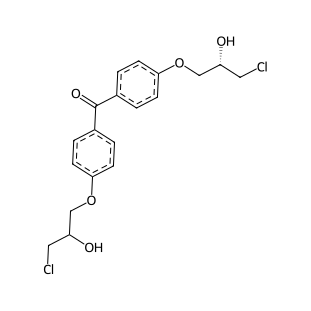 O=C(c1ccc(OCC(O)CCl)cc1)c1ccc(OC[C@H](O)CCl)cc1